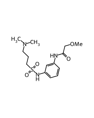 COCC(=O)Nc1cccc(NS(=O)(=O)CCCN(C)C)c1